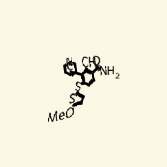 COc1ccc(Sc2ccc(C(N)=O)c(C)c2C2CN3CCC2CC3)s1